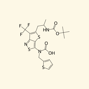 CC(Cc1sc2c(N(Cc3cccs3)C(=O)O)snc2c1C(F)(F)F)NC(=O)OC(C)(C)C